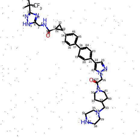 CC(C)(c1n[nH]c(CNC(=O)[C@H]2C[C@@H]2c2ccc(-c3ccc(-c4cnn(CC(=O)N5CCC(CN6CCNCC6)CC5)c4)cc3)cc2)n1)C(F)(F)F